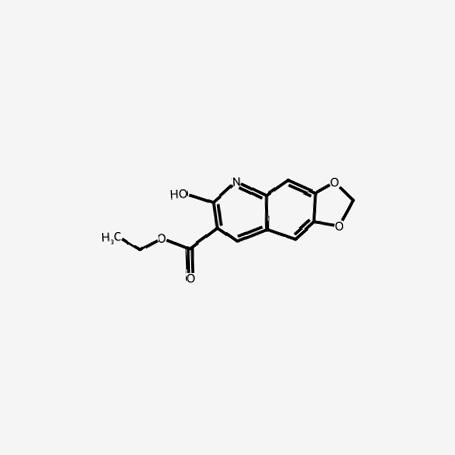 CCOC(=O)c1cc2cc3c(cc2nc1O)OCO3